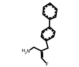 NC/C(=C/F)Cc1ccc(-c2ccccc2)cc1